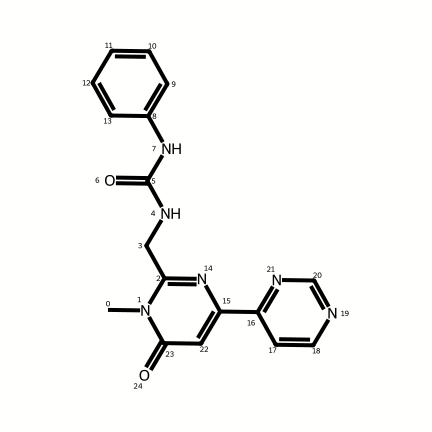 Cn1c(CNC(=O)Nc2ccccc2)nc(-c2ccncn2)cc1=O